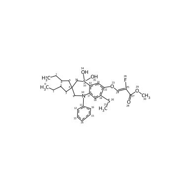 CCCCC1(CCCC)CN(c2ccccc2)c2cc(SC)c(O/C=C(\F)C(=O)OC)cc2S(O)(O)C1